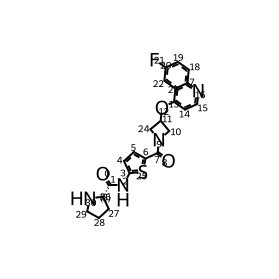 O=C(Nc1ccc(C(=O)N2CC(Oc3ccnc4ccc(F)cc34)C2)s1)[C@@H]1CCCN1